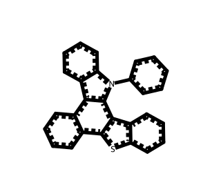 c1ccc(-n2c3ccccc3c3c4ccccc4c4sc5ccccc5c4c32)cc1